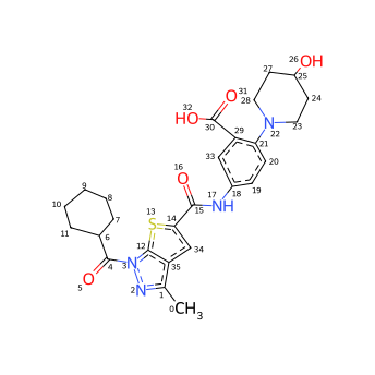 Cc1nn(C(=O)C2CCCCC2)c2sc(C(=O)Nc3ccc(N4CCC(O)CC4)c(C(=O)O)c3)cc12